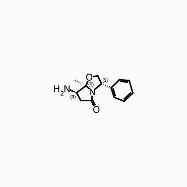 C[C@]12OC[C@H](c3ccccc3)N1C(=O)C[C@H]2N